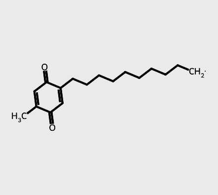 [CH2]CCCCCCCCCC1=CC(=O)C(C)=CC1=O